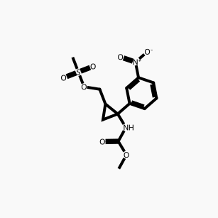 COC(=O)NC1(c2cccc([N+](=O)[O-])c2)CC1COS(C)(=O)=O